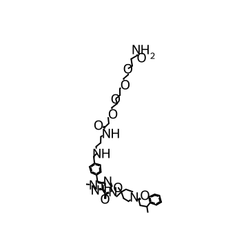 CC(CC(=O)N1CCC(O)(Cn2cnc3c(-c4ccc(CNCCCNC(=O)CCOCCOCCOCCOCCC(N)=O)cc4)n(C)nc3c2=O)CC1)c1ccccc1